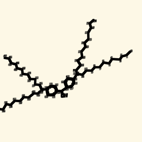 CCCCCCCCCCCCN(CCCCCCCCCCCC)c1ccc(C(O)c2ccc(N(CCCCCCCCCCCC)CCCCCCCCCCCC)cc2)cc1